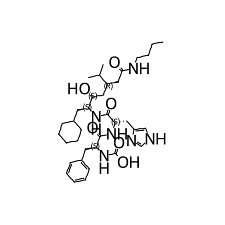 CCCCNC(=O)C[C@@H](C[C@H](O)[C@H](CC1CCCCC1)NC(=O)[C@H](Cc1c[nH]cn1)NC(=O)[C@H](Cc1ccccc1)NC(=O)O)C(C)C